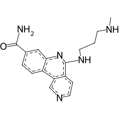 CNCCCNc1nc2cc(C(N)=O)ccc2c2cnccc12